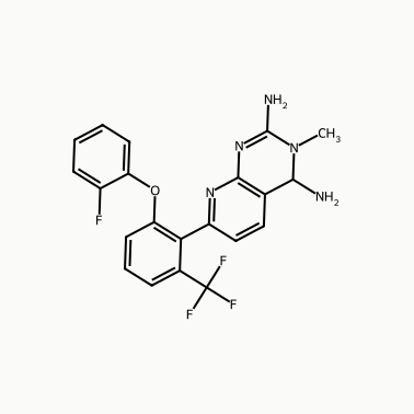 CN1C(N)=Nc2nc(-c3c(Oc4ccccc4F)cccc3C(F)(F)F)ccc2C1N